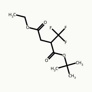 CCOC(=O)CC(C(=O)OC(C)(C)C)C(F)(F)F